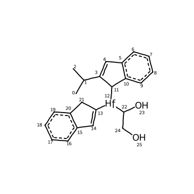 CC(C)C1=Cc2ccccc2[CH]1[Hf]([C]1=Cc2ccccc2C1)[CH](O)CO